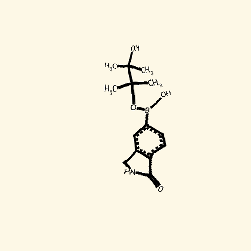 CC(C)(O)C(C)(C)OB(O)c1ccc2c(c1)CNC2=O